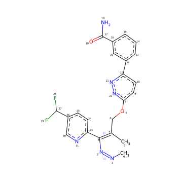 C/N=N\C(=C(/C)COc1ccc(-c2cccc(C(N)=O)c2)nn1)c1ccc(C(F)F)cn1